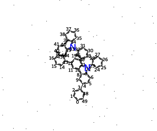 c1ccc(-c2ccc3c(c2)c2cc(-c4ccccc4)ccc2n3-c2ccccc2-c2ccc(-n3c4ccccc4c4ccccc43)cc2)cc1